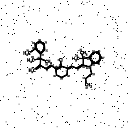 C=C(/C=C/C1=C(Cl)C(=C/C=C2/N(CCC)c3ccccc3C2(C)C)/CCC1)C(C)(C)c1ccccc1C